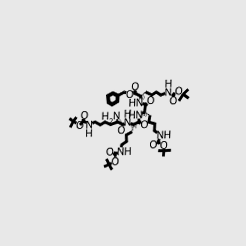 CC(C)(C)OC(=O)NCCCC[C@H](NC(=O)[C@H](CCCCNC(=O)OC(C)(C)C)NC(=O)[C@@H](N)CCCCNC(=O)OC(C)(C)C)C(=O)N[C@@H](CCCCNC(=O)OC(C)(C)C)C(=O)OCc1ccccc1